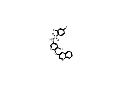 O=S(=O)(Nc1cnc(Oc2cnc3ccccc3c2)c(Cl)c1)c1ccc(F)cc1F